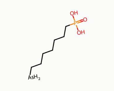 O=P(O)(O)CCCCCCC[AsH2]